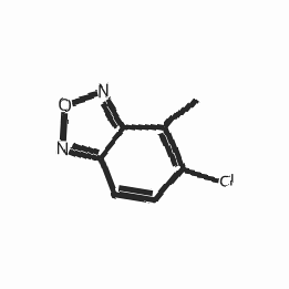 Cc1c(Cl)ccc2nonc12